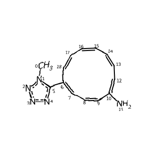 Cn1nnnc1C1=C/C=C\C(N)=C/C=C\C=C/C=C\1